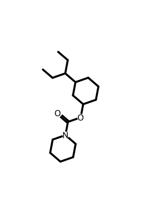 CCC(CC)C1CCCC(OC(=O)N2CCCCC2)C1